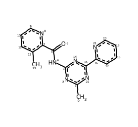 Cc1nc(NC(=O)c2ncccc2C)nc(-c2ccccn2)n1